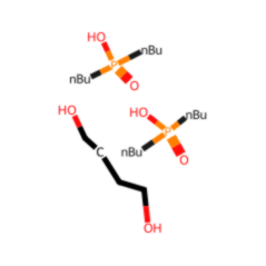 CCCCP(=O)(O)CCCC.CCCCP(=O)(O)CCCC.OCCCCO